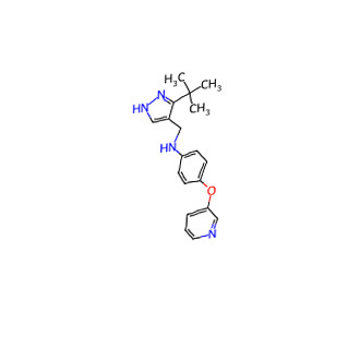 CC(C)(C)c1n[nH]cc1CNc1ccc(Oc2cccnc2)cc1